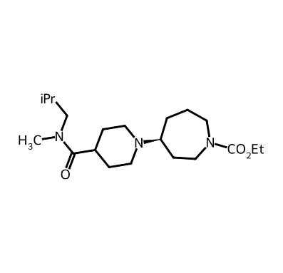 CCOC(=O)N1CCC[C@H](N2CCC(C(=O)N(C)CC(C)C)CC2)CC1